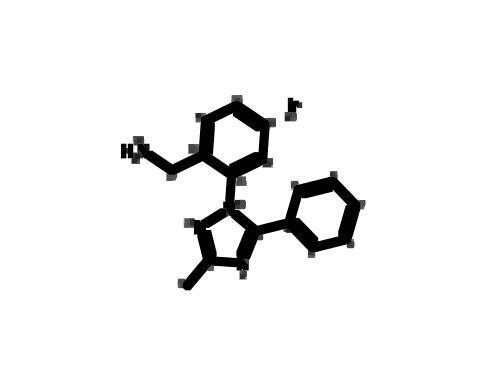 Cc1nc(-c2ccccc2)n(-c2ccccc2CN)n1.[Ir]